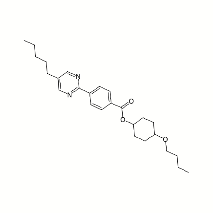 CCCCCc1cnc(-c2ccc(C(=O)OC3CCC(OCCCC)CC3)cc2)nc1